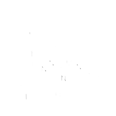 COc1cccc(-n2nc(Cc3c(F)cccc3Cl)c(=O)n(CC(N)c3ccccc3)c2=O)c1Cl